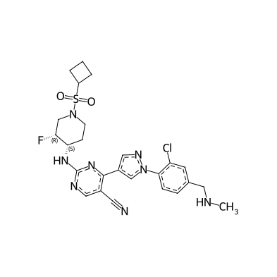 CNCc1ccc(-n2cc(-c3nc(N[C@H]4CCN(S(=O)(=O)C5CCC5)C[C@H]4F)ncc3C#N)cn2)c(Cl)c1